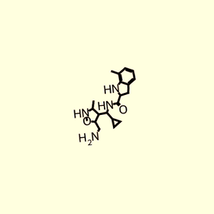 Cc1cccc2c1NC(C(=O)NC(C1CC1)C1C(C)NOC1CN)C2